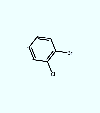 Clc1[c][c]ccc1Br